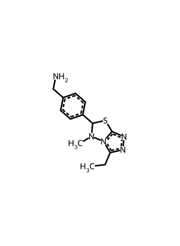 CCc1nnc2n1N(C)C(c1ccc(CN)cc1)S2